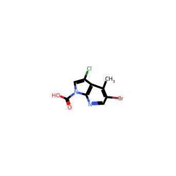 Cc1c(Br)cnc2c1c(Cl)cn2C(=O)O